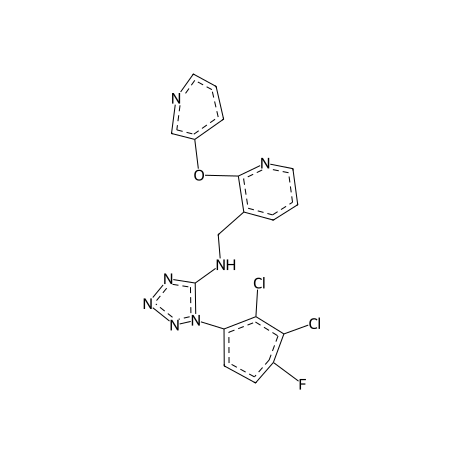 Fc1ccc(-n2nnnc2NCc2cccnc2Oc2cccnc2)c(Cl)c1Cl